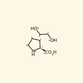 O=C(O)[C@@H]1CCCN1.OCCO